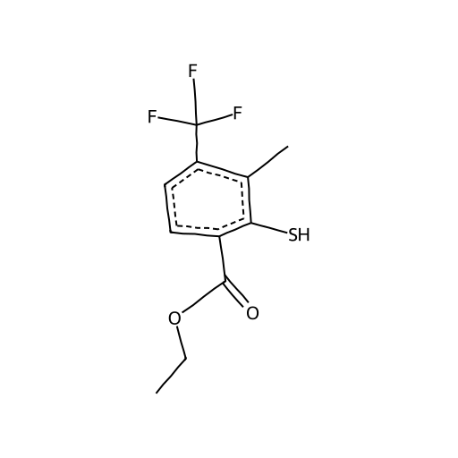 CCOC(=O)c1ccc(C(F)(F)F)c(C)c1S